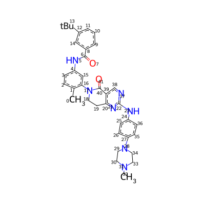 Cc1ccc(NC(=O)c2cccc(C(C)(C)C)c2)cc1N1CCc2nc(Nc3ccc(N4CCN(C)CC4)cc3)ncc2C1=O